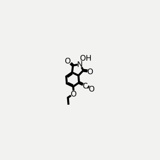 CCOC1=CC=C2C(=O)N(O)C(=O)C2C1=C=O